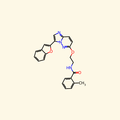 Cc1ccccc1C(=O)NCCOc1ccc2ncc(-c3cc4ccccc4o3)n2n1